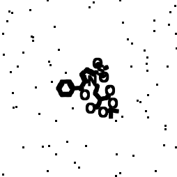 CC1(C)OC(=O)C(CCn2c(C(=O)c3ccccc3)ccc2S(C)(=O)=O)C(=O)O1